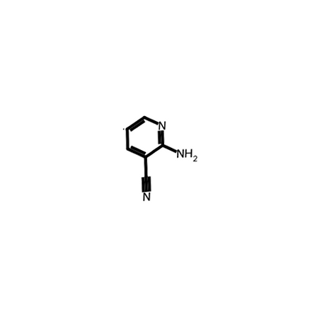 N#Cc1c[c]cnc1N